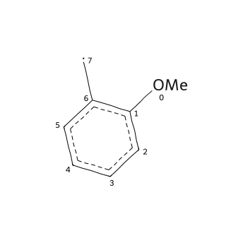 [CH2]Oc1ccccc1[CH2]